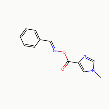 Cn1cnc(C(=O)ON=Cc2ccccc2)c1